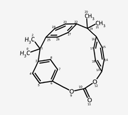 CC1(C)c2ccc(cc2)OC(=O)Oc2ccc(cc2)C(C)(C)c2ccc1cc2